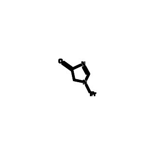 CC(C)N1C=NC(=O)C1